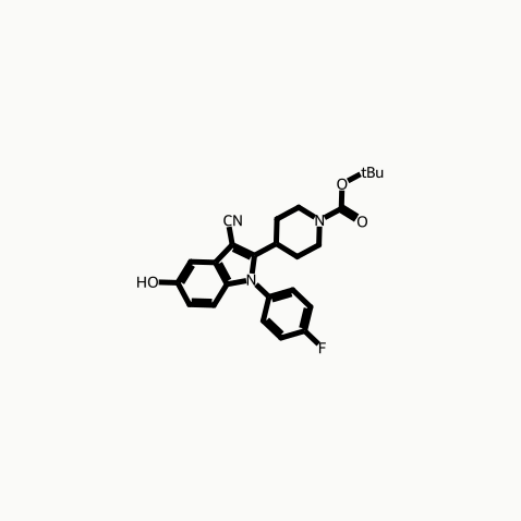 CC(C)(C)OC(=O)N1CCC(c2c(C#N)c3cc(O)ccc3n2-c2ccc(F)cc2)CC1